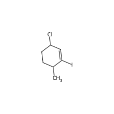 CC1CCC(Cl)C=C1I